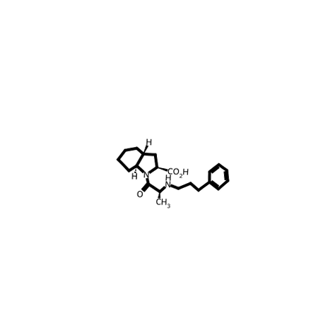 C[C@H](NCCCc1ccccc1)C(=O)N1[C@H](C(=O)O)C[C@H]2CCCC[C@@H]21